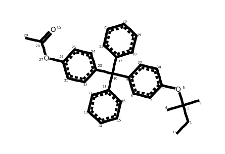 CCC(C)(C)Oc1ccc(C(c2ccccc2)(c2ccccc2)c2ccc(OC(C)=O)cc2)cc1